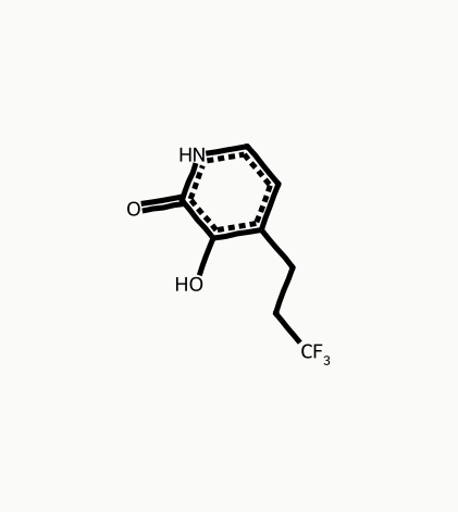 O=c1[nH]ccc(CCC(F)(F)F)c1O